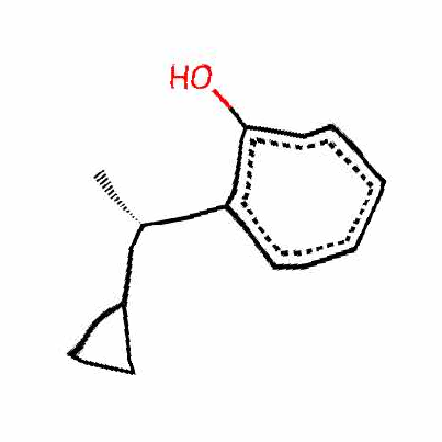 C[C@H](c1ccccc1O)C1CC1